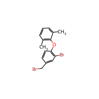 Cc1cccc(C)c1Oc1ccc(CBr)cc1Br